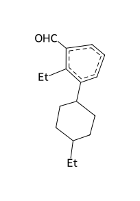 CCc1c(C=O)cccc1C1CCC(CC)CC1